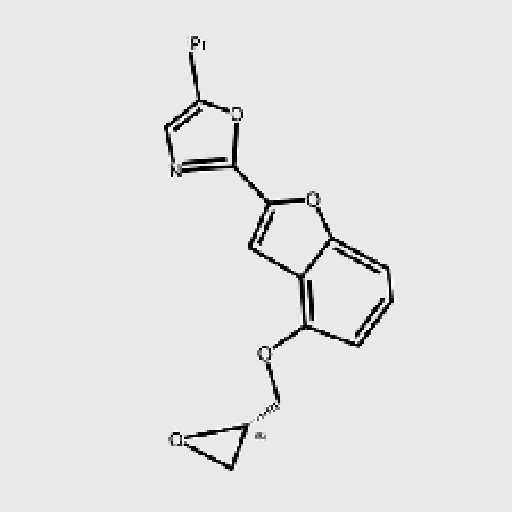 CC(C)c1cnc(-c2cc3c(OC[C@@H]4CO4)cccc3o2)o1